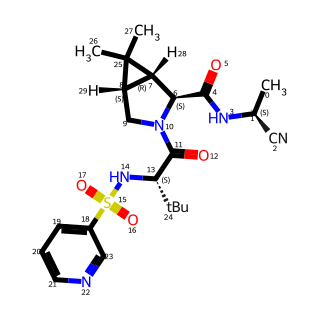 C[C@@H](C#N)NC(=O)[C@@H]1[C@@H]2[C@H](CN1C(=O)[C@@H](NS(=O)(=O)c1cccnc1)C(C)(C)C)C2(C)C